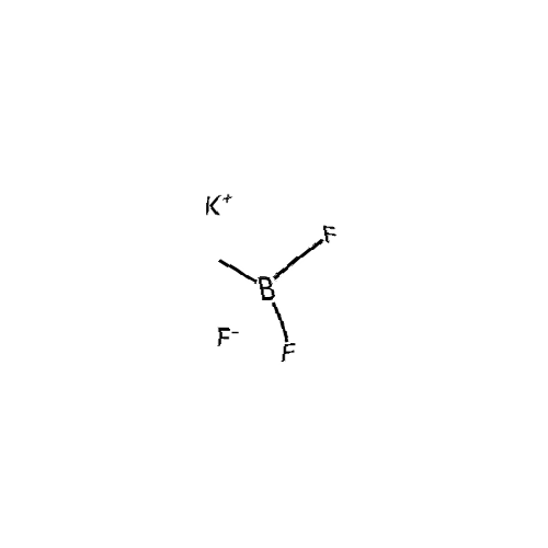 CB(F)F.[F-].[K+]